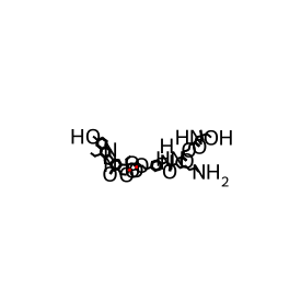 CCc1c2c(nc3ccc(O)cc13)-c1cc3c(c(=O)n1C2)COC(=O)C3(CC)OC(=O)OCc1ccc(NC(=O)C(CCCCN)NC(=O)COCC(=O)NC(C)(C)CO)cc1